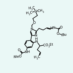 C=CCC(Nc1cc(NC(=O)OC)ccc1-c1cn(COCC[Si](C)(C)C)c(CCC=CNC(=O)OC(C)(C)C)n1)C(=O)OCC